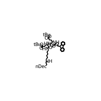 CCCCCCCCCCCCNCCCCCCNC(=O)C(CCC(=O)OC(C)(C)C)NC(=O)C(CCC(=O)OC(C)(C)C)NC(=O)OCC1c2ccccc2-c2ccccc21